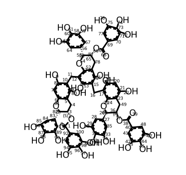 O=C(O[C@H]1Cc2c(cc(O)c(Cc3c(O)c(Cc4c(O)cc(O)c5c4O[C@H](c4cc(O)c(O)c(O)c4)[C@H](OC(=O)c4cc(O)c(O)c(O)c4)C5)c(O)c4c3O[C@H](c3cc(O)c(O)c(O)c3)[C@H](OC(=O)c3cc(O)c(O)c(O)c3)C4)c2O)O[C@H]1c1cc(O)c(O)c(O)c1)c1cc(O)c(O)c(O)c1